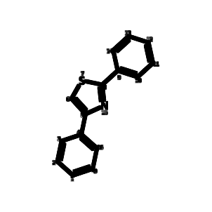 [c]1cccc(-c2csc(-c3ccccc3)n2)c1